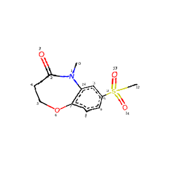 CN1C(=O)CCOc2ccc(S(C)(=O)=O)cc21